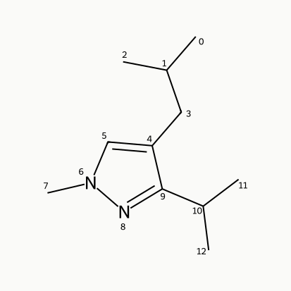 CC(C)Cc1cn(C)nc1C(C)C